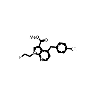 COC(=O)c1cn(CCF)c2nccc(Cc3ccc(C(F)(F)F)cc3)c12